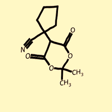 CC1(C)OC(=O)C(C2(C#N)CCCC2)C(=O)O1